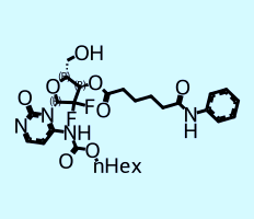 CCCCCCOC(=O)Nc1ccnc(=O)n1[C@@H]1O[C@H](CO)[C@@H](OC(=O)CCCCC(=O)Nc2ccccc2)C1(F)F